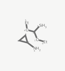 CCOC([SiH3])OCC.NC1CC1